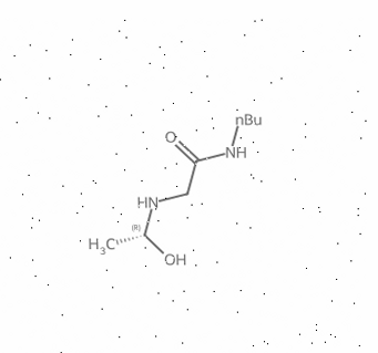 CCCCNC(=O)CN[C@@H](C)O